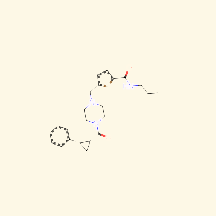 CC(C)CCNC(=O)c1ccc(CN2CCN(C(=O)[C@@H]3C[C@H]3c3ccccc3)CC2)s1